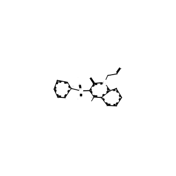 C=CCn1c(=O)c(S(=O)(=O)c2ccccc2)c(O)c2ccccc21